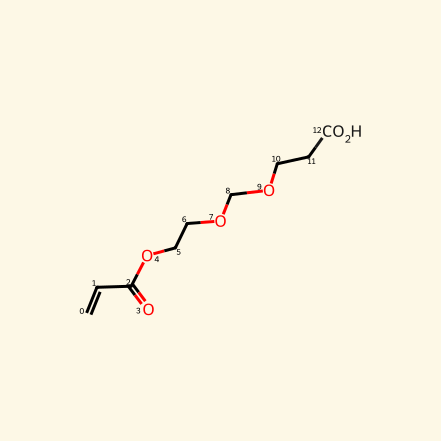 C=CC(=O)OCCOCOCCC(=O)O